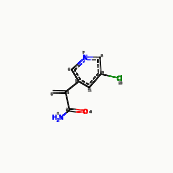 C=C(C(N)=O)c1cncc(Cl)c1